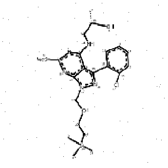 CSc1nc(NC[C@H](C)O)c2c(-c3ccccc3Cl)nn(COCC[Si](C)(C)C)c2n1